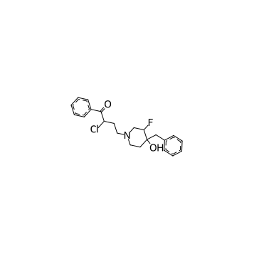 O=C(c1ccccc1)C(Cl)CCN1CCC(O)(Cc2ccccc2)C(F)C1